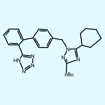 CCCCc1nc(C2CCCCC2)n(Cc2ccc(-c3ccccc3-c3nnn[nH]3)cc2)n1